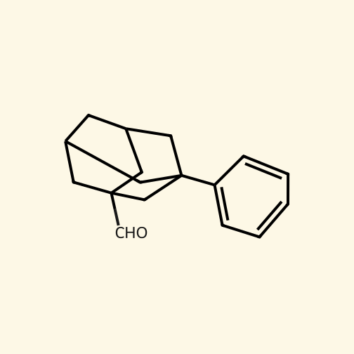 O=CC12CC3CC(C1)CC(c1ccccc1)(C3)C2